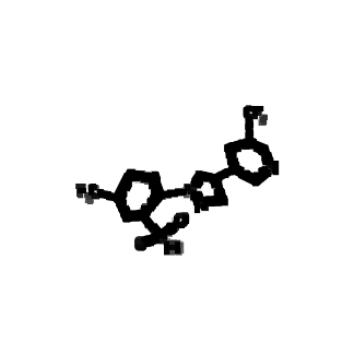 CCS(=O)(=O)c1cc(C(F)(F)F)ccc1-n1cc(-c2cncc(C(F)(F)F)c2)cn1